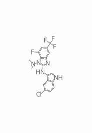 CN(C)n1c(Nc2c[nH]c3ccc(Cl)cc23)nc2cc(C(F)(F)F)cc(F)c21